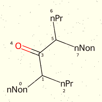 CCCCCCCCCC(CCC)C(=O)C(CCC)CCCCCCCCC